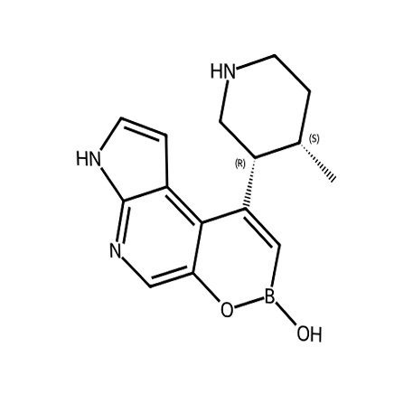 C[C@H]1CCNC[C@H]1C1=CB(O)Oc2cnc3[nH]ccc3c21